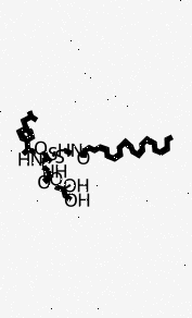 CC/C=C\C/C=C\C/C=C\C/C=C\C/C=C\C/C=C\CCC(=O)NCCSSC(C)(C)[C@@H](CNC(=O)OC[C@@H](O)CO)NC(=O)C(C)c1ccc(CC(C)C)cc1